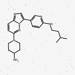 CC(C)CCNc1ccc(-c2cnc3ccc(N4CCC(N)CC4)nn23)cn1